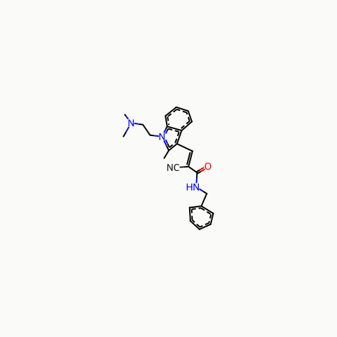 Cc1c(C=C(C#N)C(=O)NCc2ccccc2)c2ccccc2n1CCN(C)C